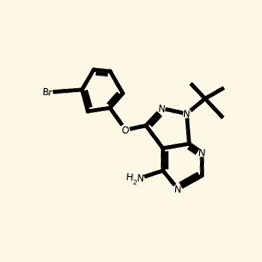 CC(C)(C)n1nc(Oc2cccc(Br)c2)c2c(N)ncnc21